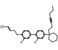 CCCC#CCCC1(c2ccc(-c3ccc(CC/C=C/Cl)c(F)c3)c(F)c2)CCCCC1